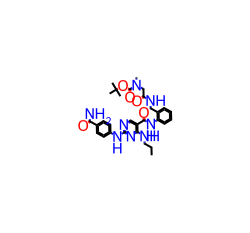 CCCNc1nc(Nc2ccc(C(N)=O)cc2)ncc1C(=O)Nc1ccccc1CNC(=O)CN(C)C(=O)OC(C)(C)C